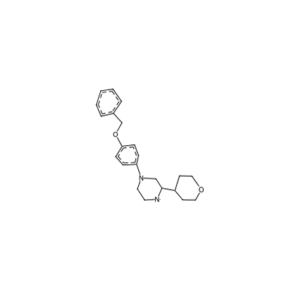 c1ccc(COc2ccc(N3CC[N]C(C4CCOCC4)C3)cc2)cc1